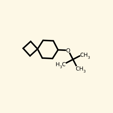 CC(C)(C)OC1CCC2(CCC2)CC1